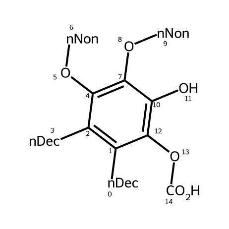 CCCCCCCCCCc1c(CCCCCCCCCC)c(OCCCCCCCCC)c(OCCCCCCCCC)c(O)c1OC(=O)O